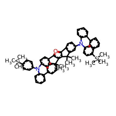 CC1(C)c2cc(N(c3ccc([Si](C)(C)C)cc3)c3ccccc3-c3ccccc3)ccc2-c2oc3c(c21)C(C)(C)c1cc(N(c2ccc([Si](C)(C)C)cc2)c2ccccc2-c2ccccc2)ccc1-3